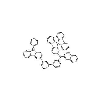 c1ccc(-n2c3ccccc3c3cc(-c4cccc(-c5cccc(N(c6ccc7c(c6)C6(c8ccccc8-c8ccccc86)c6ccccc6-7)c6ccc7ccccc7c6)c5)c4)ccc32)cc1